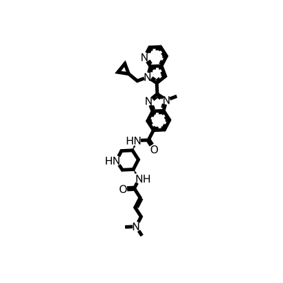 CN(C)C/C=C/C(=O)N[C@@H]1CNC[C@H](NC(=O)c2ccc3c(c2)nc(-c2cc4cccnc4n2CC2CC2)n3C)C1